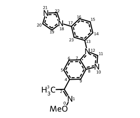 CON=C(C)c1ccc2c(c1)ncn2-c1cccc(-n2ccnc2)c1